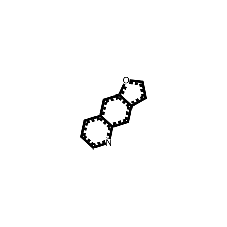 [c]1ccc2cc3occc3cc2n1